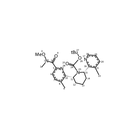 CON(C)C(=O)c1ccc(C)c([C@H]2CCC[C@@H](c3ncccc3C)N2C(=O)OC(C)(C)C)n1